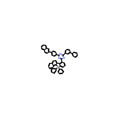 c1ccc(-c2cccc(-c3nc(-c4ccc(-c5ccc6ccccc6c5)cc4)nc(-c4cccc5c4-c4ccc6ccccc6c4[Si]5(c4ccccc4)c4ccccc4)n3)c2)cc1